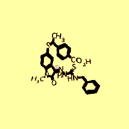 CC(Sc1ccc2c(c1)/C(=N/NC(=S)NCc1ccccc1)C(=O)N2C)c1ccc(C(=O)O)cc1